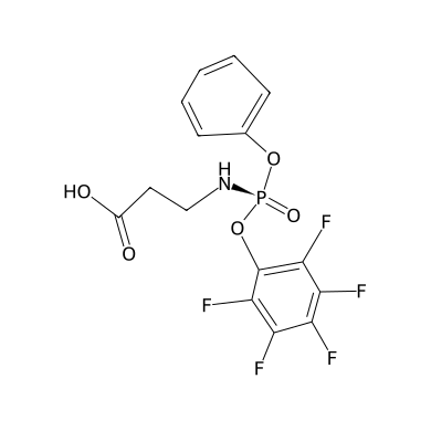 O=C(O)CCN[P@](=O)(Oc1ccccc1)Oc1c(F)c(F)c(F)c(F)c1F